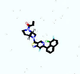 C=CC(=O)N1CC[C@@H]2[C@H]1CN2c1snc2c(F)c(-c3cccc4ccc(F)c(Cl)c34)ncc12